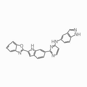 c1ccc2oc(-c3cc4ccc(-c5nccc(Nc6ccc7[nH]ncc7c6)n5)cc4[nH]3)nc2c1